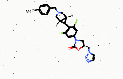 COc1ccc(CN2C[C@@H]3C(c4c(F)cc(N5C[C@H](Cn6ccnn6)OC5=O)cc4F)[C@@H]3C2)cc1